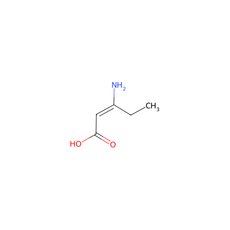 CC/C(N)=C\C(=O)O